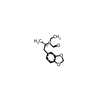 CCN(C=O)[C@H](C)Cc1ccc2c(c1)OCO2